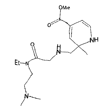 CCN(CCN(C)C)C(=O)CNCC1(C)C=C(C(=O)OC)C=CN1